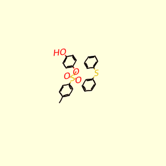 Cc1ccc(S(=O)(=O)Oc2ccc(O)cc2)cc1.c1ccc(Sc2ccccc2)cc1